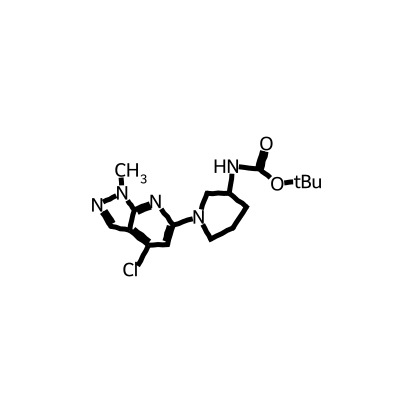 Cn1ncc2c(Cl)cc(N3CCCC(NC(=O)OC(C)(C)C)C3)nc21